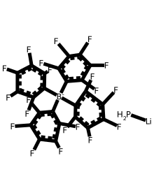 Fc1c(F)c(F)c([B-](c2c(F)c(F)c(F)c(F)c2F)(c2c(F)c(F)c(F)c(F)c2F)c2c(F)c(F)c(F)c(F)c2F)c(F)c1F.[Li][PH2]